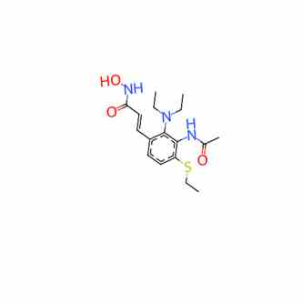 CCSc1ccc(C=CC(=O)NO)c(N(CC)CC)c1NC(C)=O